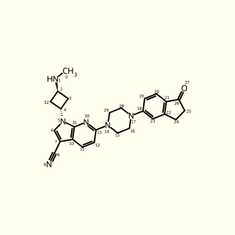 CN[C@H]1C[C@H](n2cc(C#N)c3ccc(N4CCN(c5ccc6c(c5)CCC6=O)CC4)nc32)C1